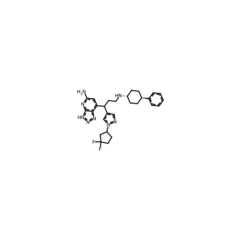 Nc1cc(C(CCN[C@H]2CC[C@H](c3ccccc3)CC2)c2cnn(C3CCC(F)(F)C3)c2)c2nn[nH]c2n1